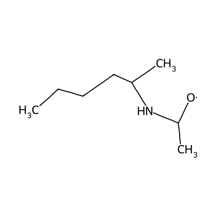 CCCCC(C)NC(C)[O]